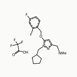 CNCc1cc(OCc2ccc(F)cc2F)n(CC2CCCC2)n1.O=C(O)C(F)(F)F